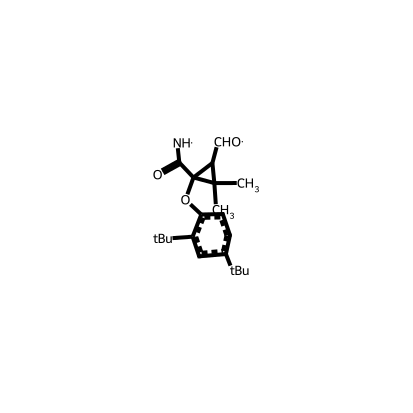 CC(C)(C)c1ccc(OC2(C([NH])=O)C([C]=O)C2(C)C)c(C(C)(C)C)c1